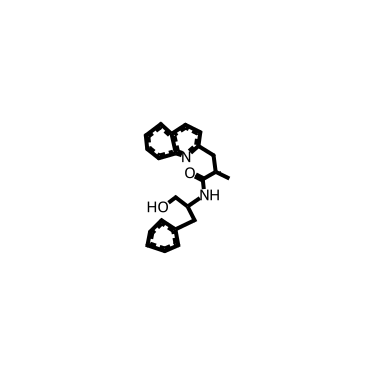 C[C](Cc1ccc2ccccc2n1)C(=O)NC(CO)Cc1ccccc1